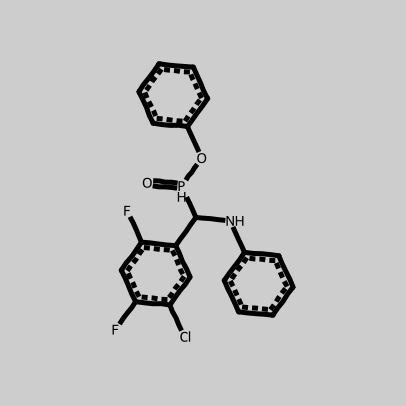 O=[PH](Oc1ccccc1)C(Nc1ccccc1)c1cc(Cl)c(F)cc1F